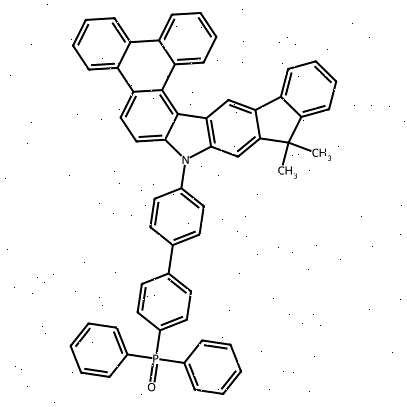 CC1(C)c2ccccc2-c2cc3c4c5c6ccccc6c6ccccc6c5ccc4n(-c4ccc(-c5ccc(P(=O)(c6ccccc6)c6ccccc6)cc5)cc4)c3cc21